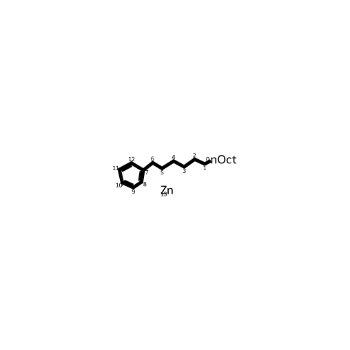 CCCCCCCCCCCCCCc1cc[c]cc1.[Zn]